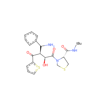 CC(C)(C)NC(=O)[C@@H]1CSCN1C(=O)[C@@H](O)[C@@H](C(=O)c1cccs1)C(N)c1ccccc1